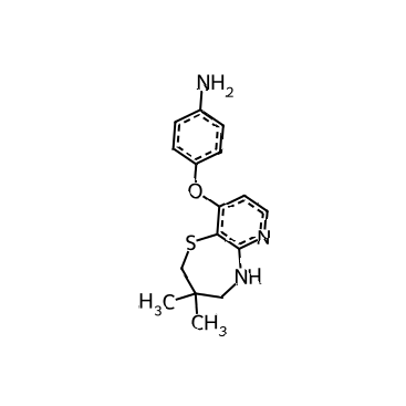 CC1(C)CNc2nccc(Oc3ccc(N)cc3)c2SC1